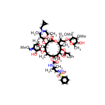 CON=C1C[C@@H](C)O[C@@H](OC2C(C)CC(C)(OC(=O)NC(C)(C)CNS(=O)(=O)c3ccccc3)C(=O)C(C)C(OC(=O)CC(C)C)C(C)C(C(C)CO[C@@H]3O[C@H](C)[C@@H](O)[C@@H](OC)[C@H]3OC)OC(=O)C(C)C(O[C@H]3C[C@H](C)N(CC4CC4)C[C@H](C)O3)C2C)[C@@H]1O